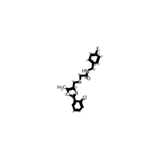 Cc1oc(-c2ccccc2Cl)nc1CSCC(=O)NCc1ccc(F)cc1